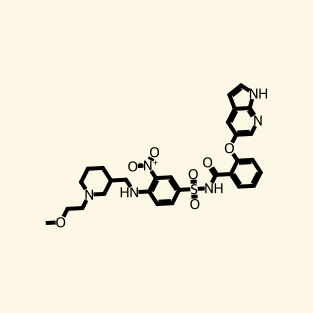 COCCN1CCCC(CNc2ccc(S(=O)(=O)NC(=O)c3ccccc3Oc3cnc4[nH]ccc4c3)cc2[N+](=O)[O-])C1